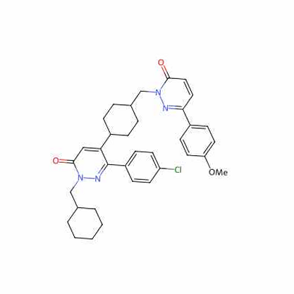 COc1ccc(-c2ccc(=O)n(CC3CCC(c4cc(=O)n(CC5CCCCC5)nc4-c4ccc(Cl)cc4)CC3)n2)cc1